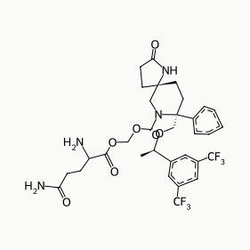 C[C@@H](OC[C@@]1(c2ccccc2)CC[C@]2(CCC(=O)N2)CN1C(=O)OCOC(=O)C(N)CCC(N)=O)c1cc(C(F)(F)F)cc(C(F)(F)F)c1